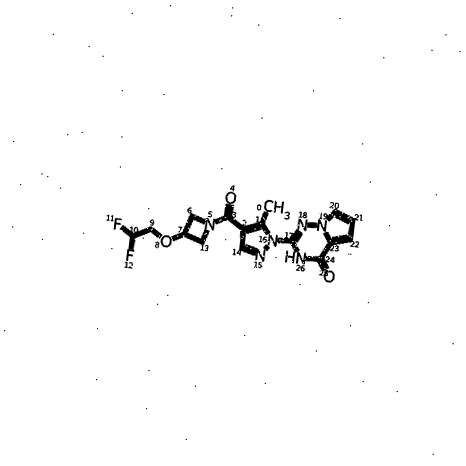 Cc1c(C(=O)N2CC(OCC(F)F)C2)cnn1-c1nn2cccc2c(=O)[nH]1